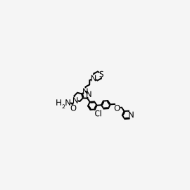 NC(=O)N1CCc2c(c(-c3ccc(Cl)c(-c4ccc(COCc5cccnc5)cc4)c3)nn2CCCN2CCSCC2)C1